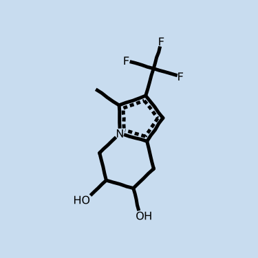 Cc1c(C(F)(F)F)cc2n1CC(O)C(O)C2